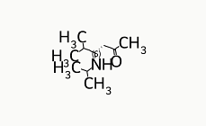 CC(=O)C[C@H](NC(C)C)C(C)C